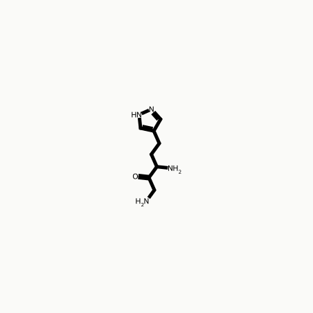 NCC(=O)C(N)CCc1cn[nH]c1